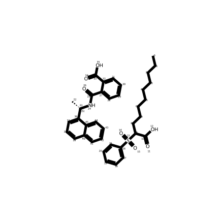 CCCCCCCCCC(C(=O)O)S(=O)(=O)c1ccccc1.C[C@H](NC(=O)c1ccccc1C(=O)O)c1cccc2ccccc12